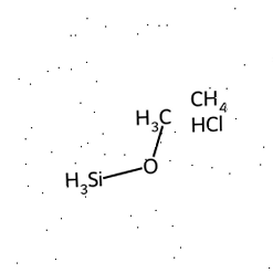 C.CO[SiH3].Cl